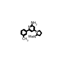 CNC1CCCN1c1cc(N)nc(-c2cccc(C)c2)c1